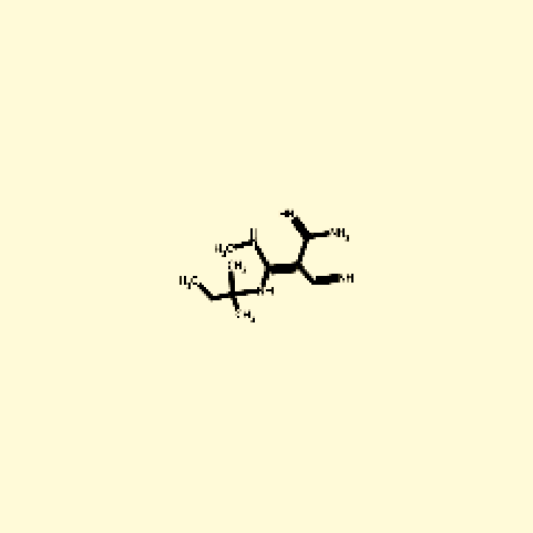 CCC(C)(C)N/C(NC)=C(\C=N)C(=N)N